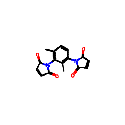 Cc1ccc(N2C(=O)C=CC2=O)c(C)c1N1C(=O)C=CC1=O